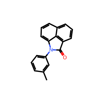 Cc1cccc(N2C(=O)c3cccc4cccc2c34)c1